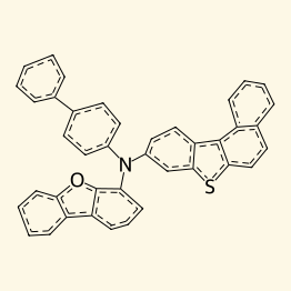 c1ccc(-c2ccc(N(c3ccc4c(c3)sc3ccc5ccccc5c34)c3cccc4c3oc3ccccc34)cc2)cc1